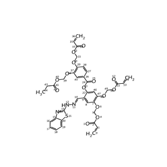 C=CC(=O)OCOc1cc(/C=N/Nc2nc3ccccc3s2)c(OC(=O)c2ccc(OCOC(=O)C=C)c(OCOC(=O)CC)c2)cc1OCOC(=O)C=C